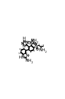 CC(N)CS(=O)(=O)c1ccc(-c2cccc3[nH]c(N)nc23)c(-c2nn[nH]n2)c1S(N)(=O)=O